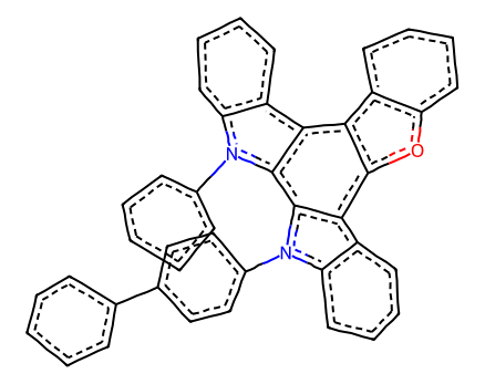 c1ccc(-c2ccc(-n3c4ccccc4c4c5oc6ccccc6c5c5c6ccccc6n(-c6ccccc6)c5c43)cc2)cc1